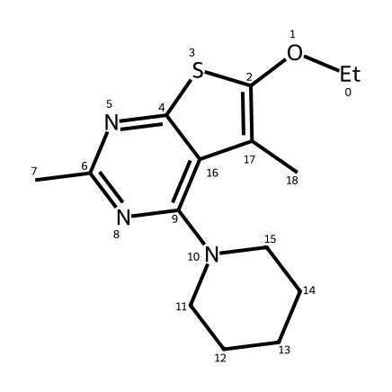 CCOc1sc2nc(C)nc(N3CCCCC3)c2c1C